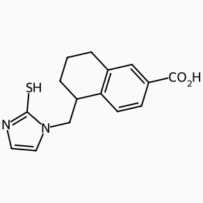 O=C(O)c1ccc2c(c1)CCCC2Cn1ccnc1S